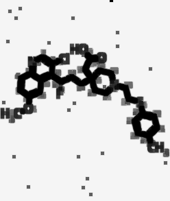 COc1ccc2ncc(Cl)c([C@@H](F)CCC3(CC(=O)O)CCN(CCSc4ccc(C)cc4)CC3)c2c1